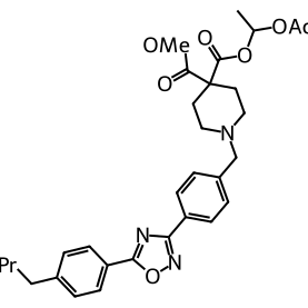 COC(=O)C1(C(=O)OC(C)OC(C)=O)CCN(Cc2ccc(-c3noc(-c4ccc(CC(C)C)cc4)n3)cc2)CC1